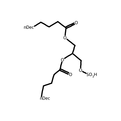 CCCCCCCCCCCCCC(=O)OCC(COS(=O)(=O)O)OC(=O)CCCCCCCCCCCCC